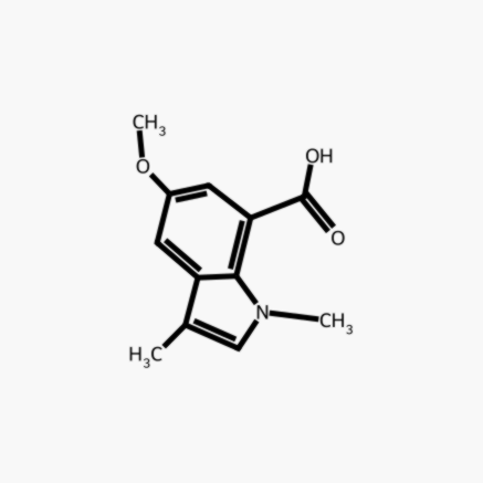 COc1cc(C(=O)O)c2c(c1)c(C)cn2C